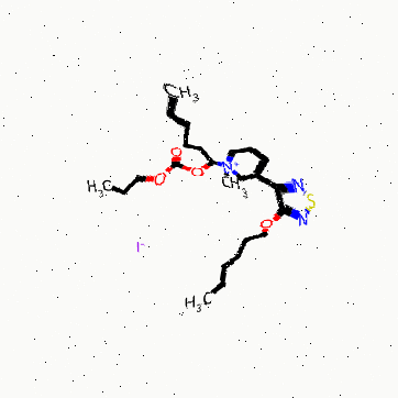 CCCCCCOc1nsnc1C1=CCC[N+](C)(C(CCCCC)OC(=O)OCCC)C1.[I-]